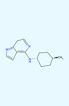 C[C@H]1CC[C@H](NC2=C3C=CN=C3CC=N2)CC1